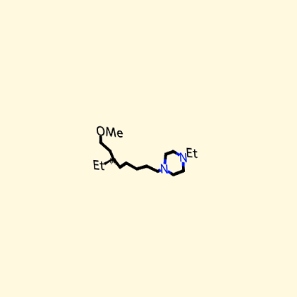 CC[C@H](CCCCCN1CCN(CC)CC1)CCOC